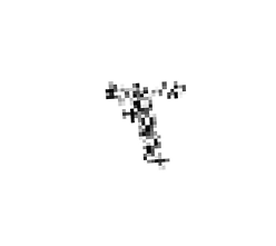 COC(C=O)CCCCCn1c(=O)c(C2CCS(=O)(=O)CC2)cc2c(NC(C)c3cccc(C(F)(F)C4CCN(C(=O)OC(C)(C)C)CC4)c3)ncnc21